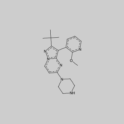 COc1ncccc1-c1c(C(C)(C)C)nn2ccc(N3CCNCC3)nc12